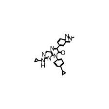 Cn1cc2cc(-c3nc4cnc(NC5CC5)nc4n(-c4ccc(C5CC5)cc4)c3=O)ccc2n1